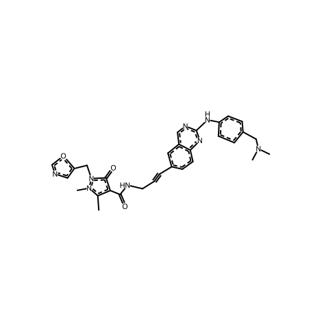 Cc1c(C(=O)NCC#Cc2ccc3nc(Nc4ccc(CN(C)C)cc4)ncc3c2)c(=O)n(Cc2cnco2)n1C